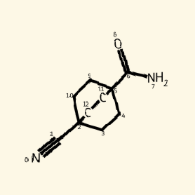 N#CC12CCC(C(N)=O)(CC1)CC2